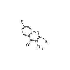 Cn1c(CBr)nc2cc(F)ccc2c1=O